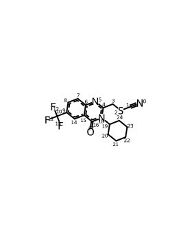 N#CSCc1nc2ccc(C(F)(F)F)cc2c(=O)n1C1CCCCC1